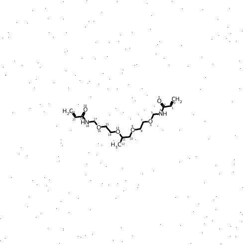 C=CC(=O)NCOCCOCC(C)OCCOCNC(=O)C=C